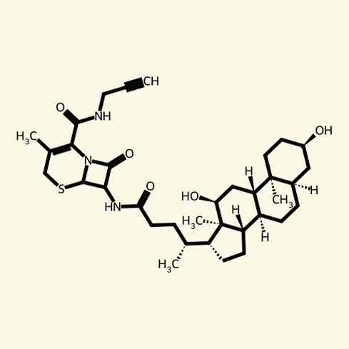 C#CCNC(=O)C1=C(C)CSC2C(NC(=O)CC[C@@H](C)[C@H]3CC[C@H]4[C@@H]5CC[C@@H]6C[C@H](O)CC[C@]6(C)[C@H]5C[C@H](O)[C@]34C)C(=O)N12